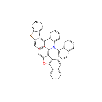 c1ccc(N(c2cccc3ccccc23)c2cccc3oc4c5ccccc5ccc4c23)c(-c2cccc3sc4ccccc4c23)c1